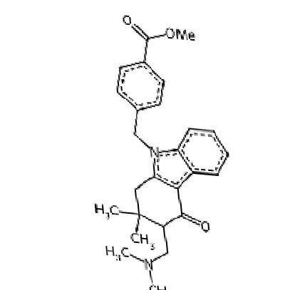 COC(=O)c1ccc(Cn2c3c(c4ccccc42)C(=O)C(CN(C)C)C(C)(C)C3)cc1